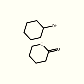 O=C1CCCCO1.OC1CCCCC1